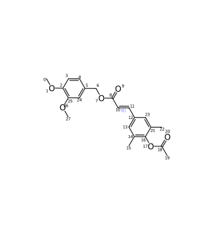 COc1ccc(COC(=O)/C=C/c2cc(C)c(OC(C)=O)c(C)c2)cc1OC